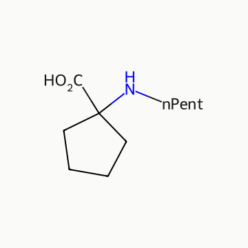 CCCCCNC1(C(=O)O)CCCC1